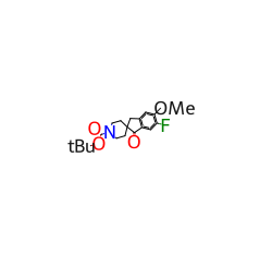 COc1cc2c(cc1F)C(=O)C1(CCN(C(=O)OC(C)(C)C)CC1)C2